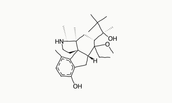 CCC1(OC)[C@@H]([C@](C)(O)C(C)(C)C)C[C@]2(C)[C@@H](C)NCC[C@@]23c2c(C)ccc(O)c2C[C@@H]13